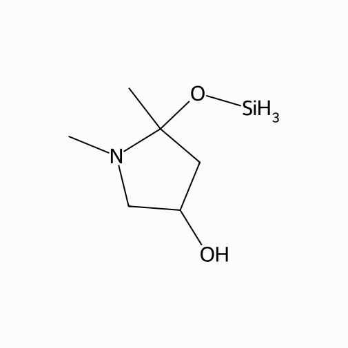 CN1CC(O)CC1(C)O[SiH3]